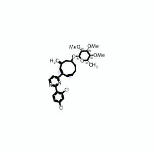 C=C1/C=C(c2ccnc(-c3ccc(Cl)cc3Cl)n2)\C=C/CCC(O[C@@H]2O[C@@H](C)[C@H](OC)[C@@H](OC)[C@H]2OC)C1